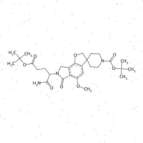 COc1cc2c(c3c1C(=O)N(C(CCC(=O)OC(C)(C)C)C(N)=O)C3)OCC21CCN(C(=O)OC(C)(C)C)CC1